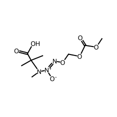 COC(=O)OCON=[N+]([O-])N(C)C(C)(C)C(=O)O